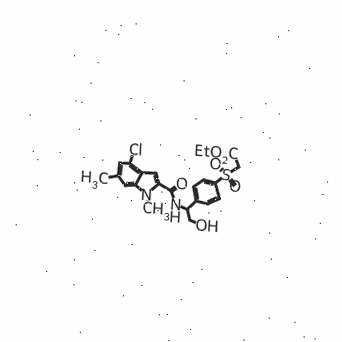 CCOC(=O)CS(=O)(=O)c1ccc(C(CO)NC(=O)c2cc3c(Cl)cc(C)cc3n2C)cc1